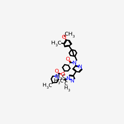 COc1ccc(C23CCC(CN(c4cc(-c5cnn(C(C)(C)C)c5)ccn4)C(=O)[C@H]4CC[C@H](OC(=O)N5CCC(C)CC5)CC4)(CC2)CC3)cc1C